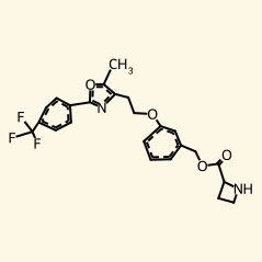 Cc1oc(-c2ccc(C(F)(F)F)cc2)nc1CCOc1cccc(COC(=O)C2CCN2)c1